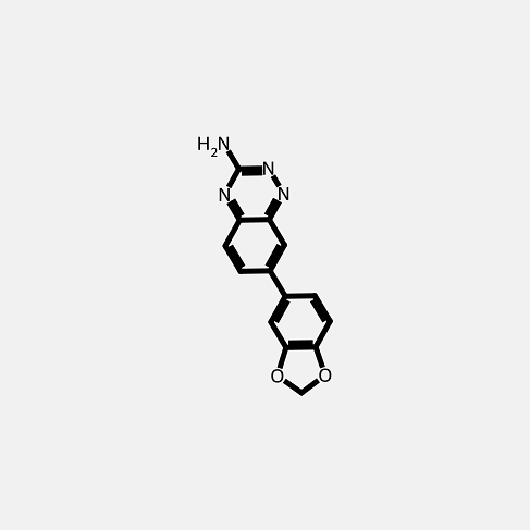 Nc1nnc2cc(-c3ccc4c(c3)OCO4)ccc2n1